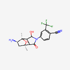 C[C@]12C[C@@H](N)[C@](C)(O1)C1C(O)N(c3ccc(C#N)c(C(F)(F)F)c3)C(=O)C12